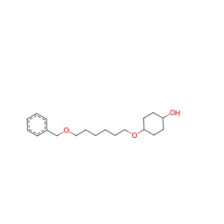 OC1CCC(OCCCCCCOCc2ccccc2)CC1